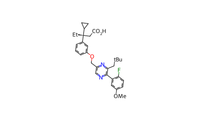 CC[C@@](CC(=O)O)(c1cccc(OCc2cnc(-c3cc(OC)ccc3F)c(CC(C)(C)C)n2)c1)C1CC1